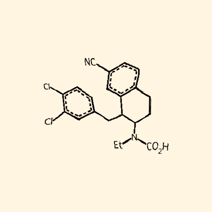 CCN(C(=O)O)C1CCc2ccc(C#N)cc2C1Cc1ccc(Cl)c(Cl)c1